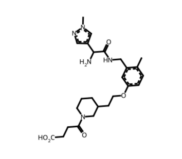 Cc1ccc(OCCC2CCCN(C(=O)CCC(=O)O)C2)cc1CNC(=O)C(N)c1cnn(C)c1